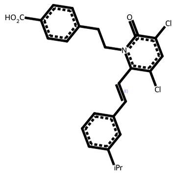 CC(C)c1cccc(/C=C/c2c(Cl)cc(Cl)c(=O)n2CCc2ccc(C(=O)O)cc2)c1